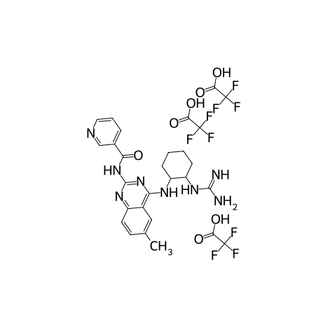 Cc1ccc2nc(NC(=O)c3cccnc3)nc(NC3CCCCC3NC(=N)N)c2c1.O=C(O)C(F)(F)F.O=C(O)C(F)(F)F.O=C(O)C(F)(F)F